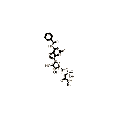 CCNC(=O)[C@H](OC[C@H]1O[C@@H](n2cnc3c(NC(=O)c4ccccc4)nc(Cl)nc32)[C@H](O)[C@@H]1O)P(=O)(O)O